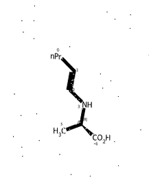 CCCC=CN[C@H](C)C(=O)O